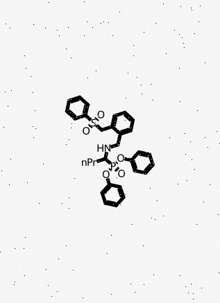 CCCC(NCc1ccccc1CS(=O)(=O)c1ccccc1)P(=O)(Oc1ccccc1)Oc1ccccc1